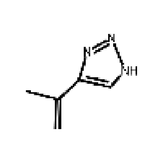 C=C(C)c1c[nH]nn1